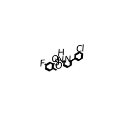 Cc1ccc(F)cc1S(=O)(=O)Nc1cccc(-c2cccc(Cl)c2)n1